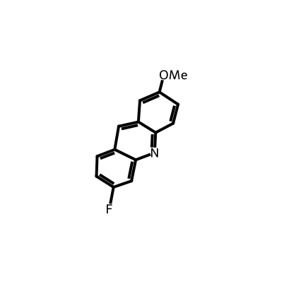 COc1ccc2nc3cc(F)ccc3cc2c1